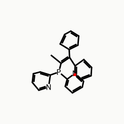 CC(=C(c1ccccc1)c1ccccc1)P(c1ccccn1)c1ccccn1